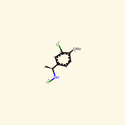 COc1ccc([C@H](C)NCl)cc1Cl